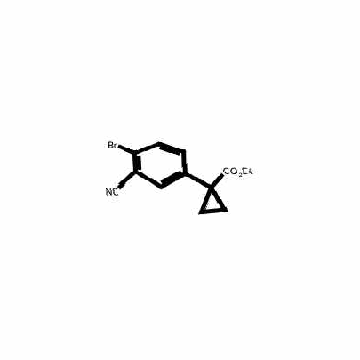 CCOC(=O)C1(c2ccc(Br)c(C#N)c2)CC1